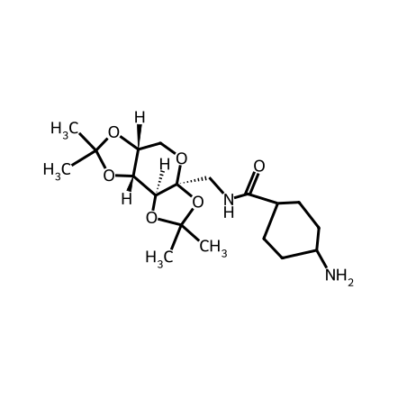 CC1(C)O[C@@H]2[C@@H](CO[C@@]3(CNC(=O)C4CCC(N)CC4)OC(C)(C)O[C@@H]23)O1